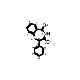 CC1NC(=O)c2ccccc2SC1c1ccccc1